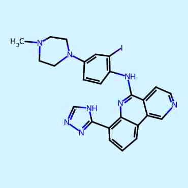 CN1CCN(c2ccc(Nc3nc4c(-c5nnc[nH]5)cccc4c4cnccc34)c(I)c2)CC1